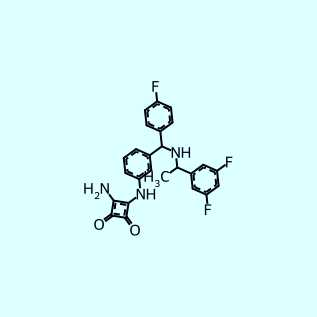 CC(NC(c1ccc(F)cc1)c1cccc(Nc2c(N)c(=O)c2=O)c1)c1cc(F)cc(F)c1